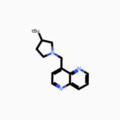 CC(C)(C)C1CCN(Cc2ccnc3cccnc23)C1